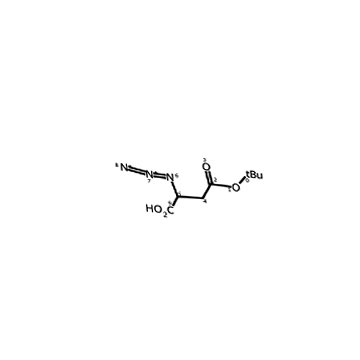 CC(C)(C)OC(=O)CC(N=[N+]=[N-])C(=O)O